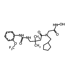 CC(C)(CNC(=O)Nc1ccccc1OC(F)(F)F)CC(=O)N(CC(=O)NO)CC1CCCC1